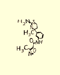 Cc1ncoc1C(=O)Nc1cccc([C@]2(C)CCSC(N)=N2)c1